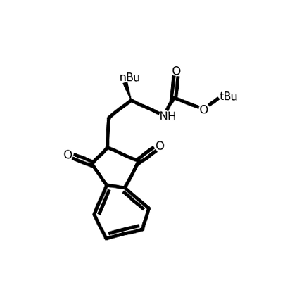 CCCC[C@H](CC1C(=O)c2ccccc2C1=O)NC(=O)OC(C)(C)C